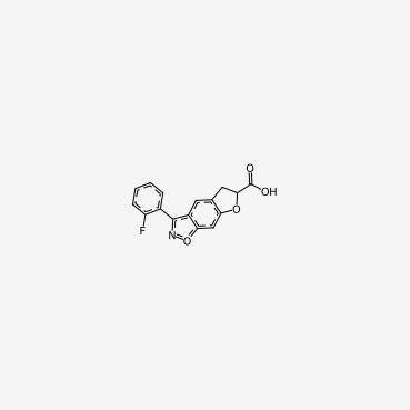 O=C(O)C1Cc2cc3c(-c4ccccc4F)noc3cc2O1